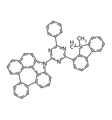 C[Si]1(C)c2ccccc2-c2cccc(-c3nc(-c4ccccc4)nc(-n4c5cccc6c5c5c7c(cccc7ccc54)-c4ccccc4-6)n3)c21